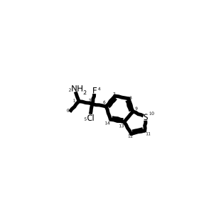 CC(N)C(F)(Cl)c1ccc2sccc2c1